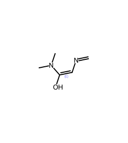 C=N/C=C(/O)N(C)C